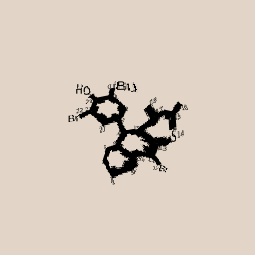 CCC(C)c1cc(-c2c3ccccc3c(Br)c3sc(C)c(C)c23)cc(Br)c1O